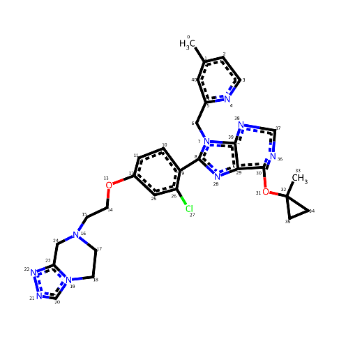 Cc1ccnc(Cn2c(-c3ccc(OCCN4CCn5cnnc5C4)cc3Cl)nc3c(OC4(C)CC4)ncnc32)c1